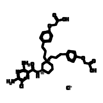 Nc1nc(N)c(C(=O)N[C@H]2CCC[N+](CCCc3ccc(OCC(=O)O)cc3)(CCCc3ccc(OCC(=O)O)cc3)C2)nc1Cl.[Cl-]